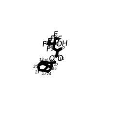 C=C(CC(O)(C(F)(F)F)C(F)(F)F)C(=O)OC1(C)C2CC3CC(C2)CC1C3